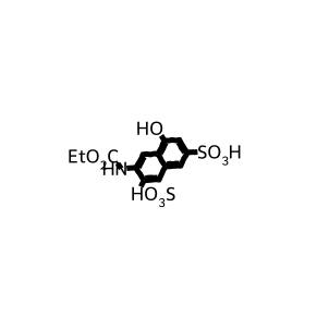 CCOC(=O)Nc1cc2c(O)cc(S(=O)(=O)O)cc2cc1S(=O)(=O)O